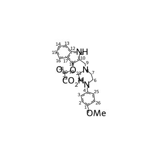 COc1ccc(N2CCN(Cc3[nH]c4ccccc4c3OC(=O)C(=O)O)CC2)cc1